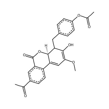 COC1=C(O)C(Cc2ccc(OC(C)=O)cc2)[C@@H]2OC(=O)c3cc(C(C)=O)ccc3C2=C1